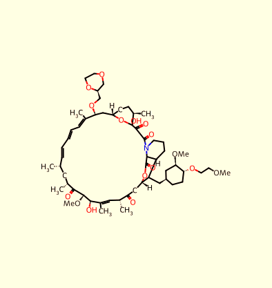 COCCO[C@@H]1CC[C@@H](CC2[C@H]3CCCN4C(=O)C(=O)[C@]5(O)O[C@@H](CC[C@H]5C)C[C@H](OC[C@@H]5COCCO5)/C(C)=C/C=C/C=C/[C@@H](C)C[C@@H](C)C(=O)[C@H](OC)[C@H](O)/C(C)=C/[C@@H](C)C(=O)C[C@@H]2OC(=O)C34)C[C@H]1OC